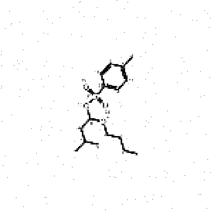 CCCCOC(CC(C)C)OS(=O)(=O)c1ccc(C)cc1